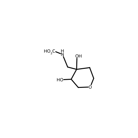 O=C(O)NCC1(O)CCOCC1O